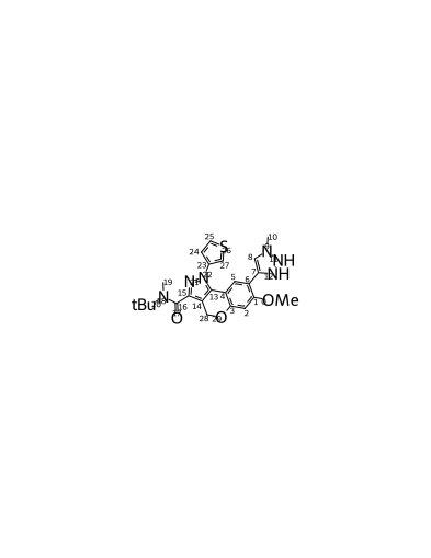 COc1cc2c(cc1C1=CN(C)NN1)-c1c(c(C(=O)N(C)C(C)(C)C)nn1-c1ccsc1)CO2